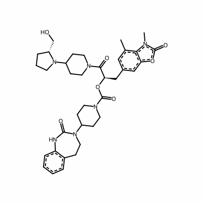 Cc1cc(C[C@@H](OC(=O)N2CCC(N3CCc4ccccc4NC3=O)CC2)C(=O)N2CCC(N3CCC[C@@H]3CO)CC2)cc2oc(=O)n(C)c12